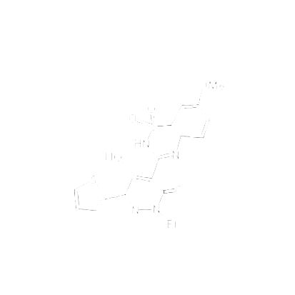 CCn1nc(-c2cccs2)c(O)c(C2=Nc3ccc(OC)cc3S(=O)(=O)N2)c1=O